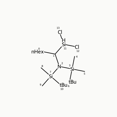 CCCCCCC(N([Si](C)(C)C(C)(C)C)[Si](C)(C)C(C)(C)C)[SiH](Cl)Cl